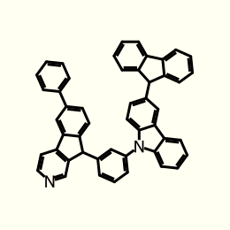 c1ccc(-c2ccc3c(c2)-c2ccncc2C3c2cccc(-n3c4ccccc4c4cc(C5c6ccccc6-c6ccccc65)ccc43)c2)cc1